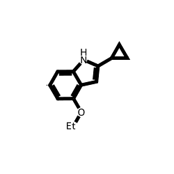 CCOc1c[c]cc2[nH]c(C3CC3)cc12